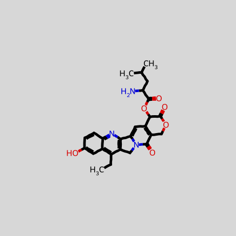 CCc1c2c(nc3ccc(O)cc13)-c1cc3c(c(=O)n1C2)COC(=O)C3OC(=O)C(N)CC(C)C